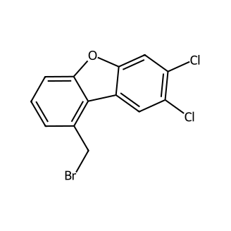 Clc1cc2oc3cccc(CBr)c3c2cc1Cl